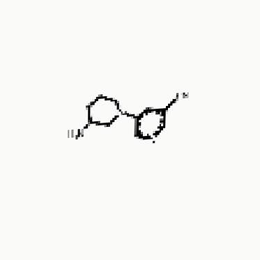 N#Cc1cncc(N2CCC[C@H](N)C2)c1